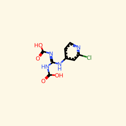 O=C(O)N=C(NC(=O)O)Nc1ccnc(Cl)c1